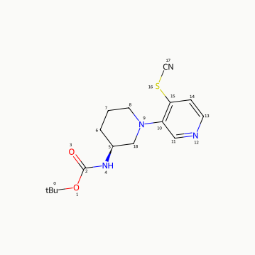 CC(C)(C)OC(=O)N[C@H]1CCCN(c2cnccc2SC#N)C1